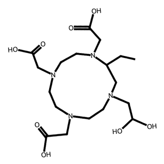 CCC1CN(CC(O)O)CCN(CC(=O)O)CCN(CC(=O)O)CCN1CC(=O)O